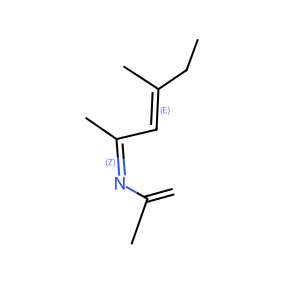 C=C(C)/N=C(C)\C=C(/C)CC